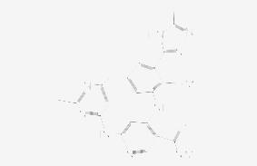 CNC(=O)c1cnc(Nc2cc(C)nc(C)n2)cc1Nc1cccc(-c2nnc(C)[nH]2)c1OC